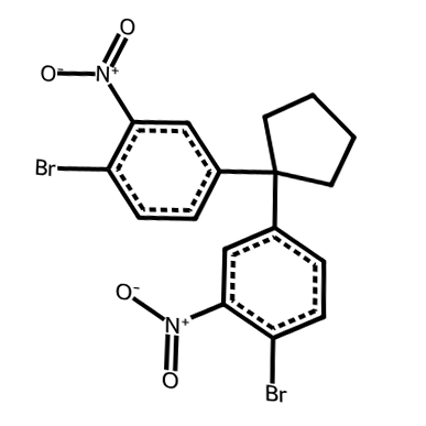 O=[N+]([O-])c1cc(C2(c3ccc(Br)c([N+](=O)[O-])c3)CCCC2)ccc1Br